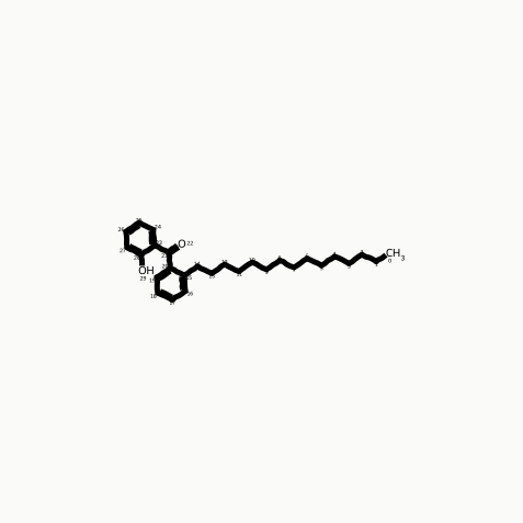 CCCCCCCCCCCCCCCc1ccccc1C(=O)c1ccccc1O